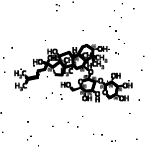 CC(C)=CCC[C@](C)(O)[C@H]1CC[C@]2(C)[C@@H]1[C@H](O)C[C@@H]1[C@@]3(C)CC[C@H](O)C(C)(C)[C@@H]3[C@@H](O[C@@H]3O[C@H](CO)[C@@H](O)[C@H](O)[C@H]3O[C@@H]3OC[C@@H](O)[C@H](O)[C@H]3O)C[C@]12C